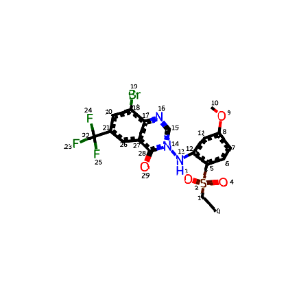 CCS(=O)(=O)c1ccc(OC)cc1Nn1cnc2c(Br)cc(C(F)(F)F)cc2c1=O